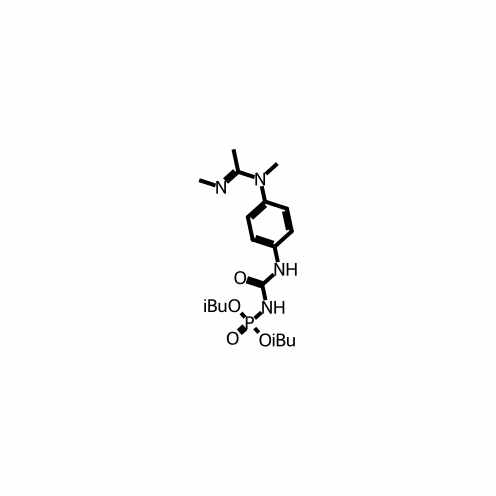 CN=C(C)N(C)c1ccc(NC(=O)NP(=O)(OCC(C)C)OCC(C)C)cc1